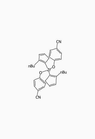 CCCCC1=[C]([Zr]([O]c2ccc(C#N)cc2)([O]c2ccc(C#N)cc2)[C]2=C(CCCC)C=CC2)CC=C1